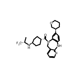 C[C@H](N[C@H]1CC[C@H](C(=O)N2Cc3cccnc3Nc3ccc([C@@H]4CCCOC4)cc32)CC1)C(F)(F)F